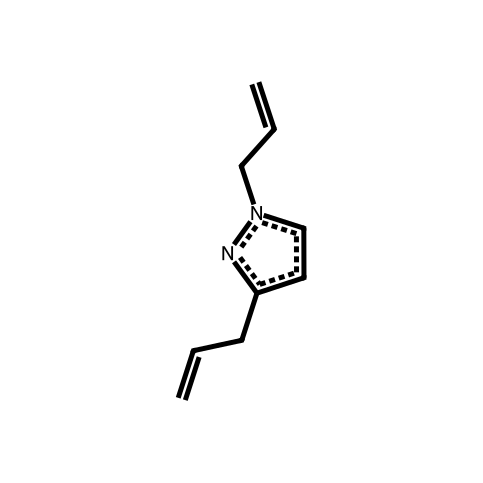 C=CCc1ccn(CC=C)n1